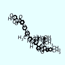 [2H]C([2H])([2H])n1cc(-c2ccnc(N3CCn4c(cc5c4CC(C)(C)C5)C3=O)c2COC(C)OP(=O)(O)O)cc(Nc2ccc(N3CCN(C4CCN(c5ccc6c(c5)C(=O)N(C5CCC(=O)NC5=O)C6=O)CC4)C[C@@H]3C)cn2)c1=O